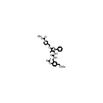 COCc1ccc(OC(F)F)c(CNC(=O)Nc2c(C)c(OCC3CCN(C(=O)OC(C)(C)C)C3)nn2-c2ccccc2)c1